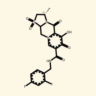 C[C@H]1CS(=O)(=O)C2Cn3cc(C(=O)NCc4ccc(F)cc4F)c(=O)c(O)c3C(=O)N21